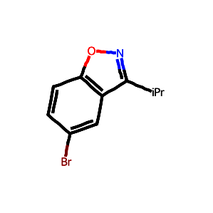 CC(C)c1noc2ccc(Br)cc12